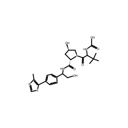 Cc1ncsc1-c1ccc(C(CO)NC(=O)[C@@H]2C[C@@H](O)CN2C(=O)C(NC(=O)O)C(C)(C)C)cc1